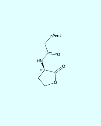 CCCCCCC(=O)N[C@@H]1CCOC1=O